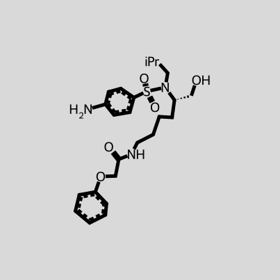 CC(C)CN([C@H](CO)CCCCNC(=O)COc1ccccc1)S(=O)(=O)c1ccc(N)cc1